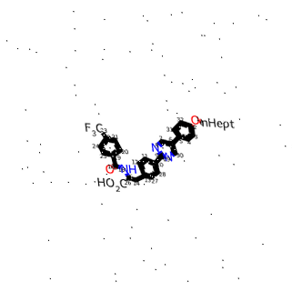 CCCCCCCOc1ccc(-c2cnc(-c3ccc(C[C@H](NC(=O)c4ccc(C(F)(F)F)cc4)C(=O)O)cc3)nc2)cc1